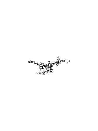 CCCCCCCCCCCCCC(=O)N1CCCC1C(=O)NCC(NC(=O)C1CCCN1C(=O)CCCCCCCCCCCCC)C(=O)NCCNC(=O)C(N)CCC(=O)O